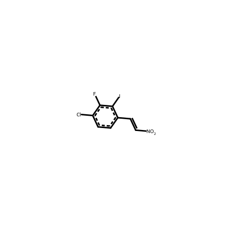 O=[N+]([O-])C=Cc1ccc(Cl)c(F)c1I